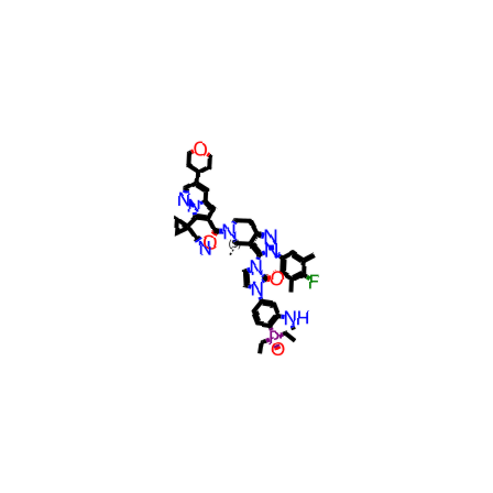 CCP(=O)(CC)c1ccc(-n2ccn(-c3c4c(nn3-c3cc(C)c(F)c(C)c3)CCN(C(=O)c3cc5cc(C6CCOCC6)cnn5c3C3(C#N)CC3)[C@H]4C)c2=O)cc1NC